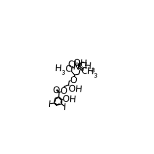 CC1(C)CC(OCC(O)COC(=O)c2cc(I)cc(I)c2O)CC(C)(C)N1O